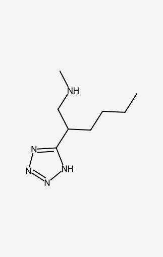 CCCCC(CNC)c1nnn[nH]1